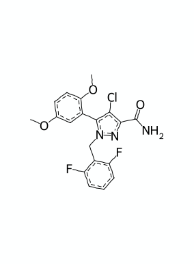 COc1ccc(OC)c(-c2c(Cl)c(C(N)=O)nn2Cc2c(F)cccc2F)c1